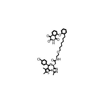 Cc1sc2c(c1C)C(c1ccc(Cl)cc1)=N[C@@H](CC(=O)NCCOCCCCCCCc1ccccc1Oc1cccc3c1C(=O)NC(=O)C3=O)c1nnc(C)n1-2